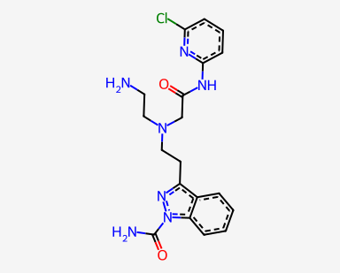 NCCN(CCc1nn(C(N)=O)c2ccccc12)CC(=O)Nc1cccc(Cl)n1